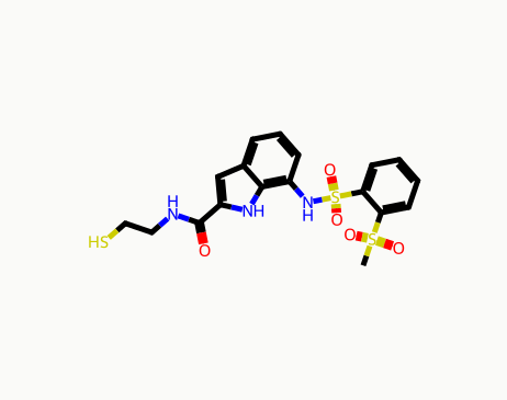 CS(=O)(=O)c1ccccc1S(=O)(=O)Nc1cccc2cc(C(=O)NCCS)[nH]c12